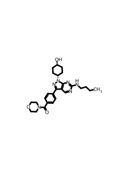 CCCCNc1ncc2c(-c3ccc(C(=O)N4CCOCC4)cc3)nn([C@H]3CC[C@H](O)CC3)c2n1